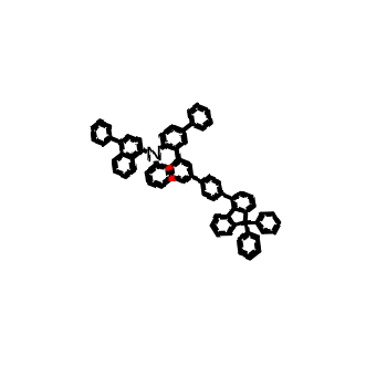 c1ccc(-c2ccc(N(c3ccccc3)c3ccc(-c4ccccc4)c4ccccc34)c(-c3cccc(-c4ccc(-c5cccc6c5-c5ccccc5C6(c5ccccc5)c5ccccc5)cc4)c3)c2)cc1